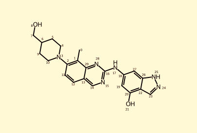 Cc1c(N2CCC(CO)CC2)ccc2cnc(Nc3cc(O)c4cn[nH]c4c3)nc12